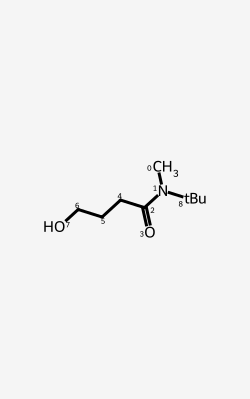 CN(C(=O)CCCO)C(C)(C)C